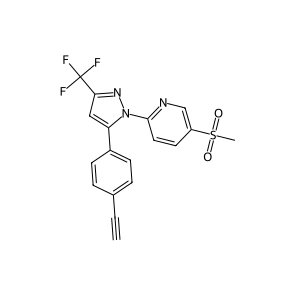 C#Cc1ccc(-c2cc(C(F)(F)F)nn2-c2ccc(S(C)(=O)=O)cn2)cc1